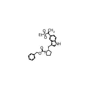 C=C(c1ccc2[nH]cc(C[C@H]3CCCN3C(=O)OCc3ccccc3)c2c1)S(=O)(=O)CC